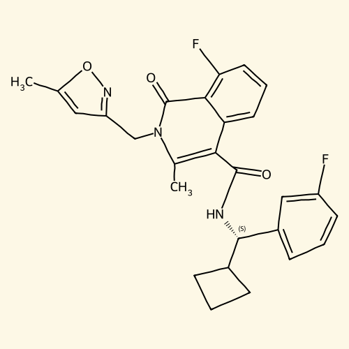 Cc1cc(Cn2c(C)c(C(=O)N[C@H](c3cccc(F)c3)C3CCC3)c3cccc(F)c3c2=O)no1